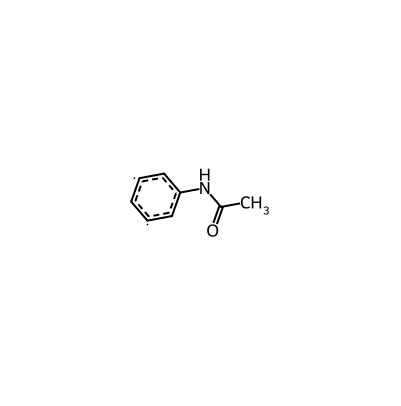 CC(=O)Nc1c[c]c[c]c1